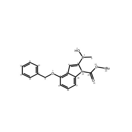 CB(O)c1cc2c(OCc3ccccc3)cccc2n1C(=O)OC(C)(C)C